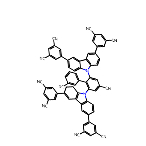 N#Cc1cc(C#N)cc(C2=Cc3c(n(-c4cc(C#N)cc(-n5c6ccc(-c7cc(C#N)cc(C#N)c7)cc6c6cc(-c7cc(C#N)cc(C#N)c7)ccc65)c4-c4cccc(C#N)c4)c4ccc(-c5cc(C#N)cc(C#N)c5)cc34)CC2)c1